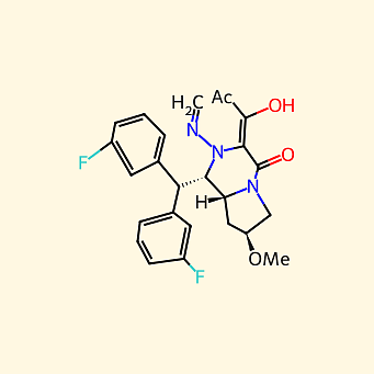 C=NN1/C(=C(/O)C(C)=O)C(=O)N2C[C@@H](OC)C[C@@H]2[C@@H]1C(c1cccc(F)c1)c1cccc(F)c1